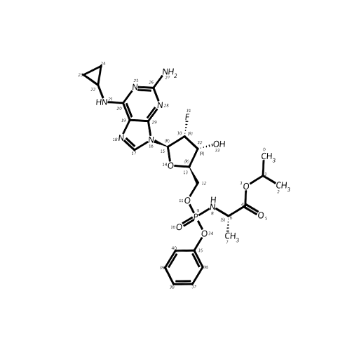 CC(C)OC(=O)[C@H](C)NP(=O)(OC[C@H]1O[C@@H](n2cnc3c(NC4CC4)nc(N)nc32)[C@H](F)[C@@H]1O)Oc1ccccc1